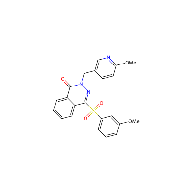 COc1cccc(S(=O)(=O)c2nn(Cc3ccc(OC)nc3)c(=O)c3ccccc23)c1